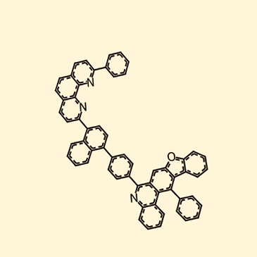 c1ccc(-c2ccc3ccc4ccc(-c5ccc(-c6ccc(-c7nc8ccccc8c8c(-c9ccccc9)c9c(cc78)oc7ccccc79)cc6)c6ccccc56)nc4c3n2)cc1